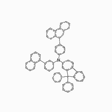 c1ccc(C2(c3ccccc3)c3ccccc3-c3ccc(N(c4ccc(-c5cc6ccccc6c6ccccc56)cc4)c4cccc(-c5cccc6ccccc56)c4)cc32)cc1